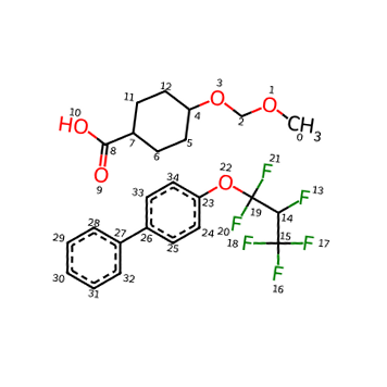 COCOC1CCC(C(=O)O)CC1.FC(C(F)(F)F)C(F)(F)Oc1ccc(-c2ccccc2)cc1